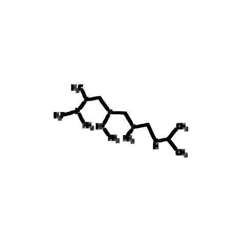 CC(C)PCP(P)CP(CP(C)P(P)P)PP